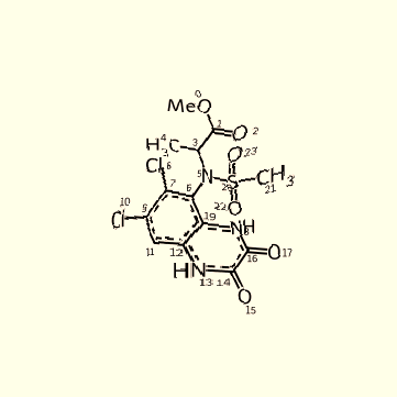 COC(=O)C(C)N(c1c(Cl)c(Cl)cc2[nH]c(=O)c(=O)[nH]c12)S(C)(=O)=O